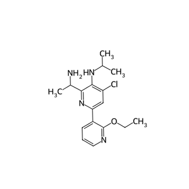 CCOc1ncccc1-c1cc(Cl)c(NC(C)C)c(C(C)N)n1